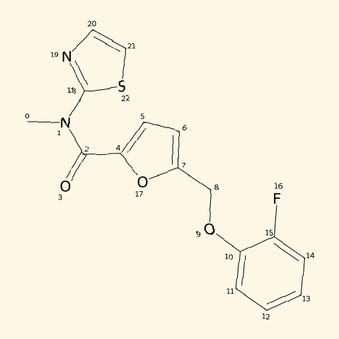 CN(C(=O)c1ccc(COc2ccccc2F)o1)c1nccs1